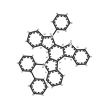 c1ccc(-c2ccccc2-n2c3ccccc3c3c4c5ccccc5oc4c4c(c5ccccc5n4-c4ccccc4)c32)cc1